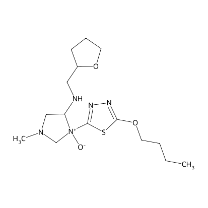 CCCCOc1nnc([N+]2([O-])CN(C)CC2NCC2CCCO2)s1